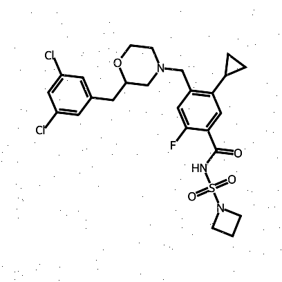 O=C(NS(=O)(=O)N1CCC1)c1cc(C2CC2)c(CN2CCOC(Cc3cc(Cl)cc(Cl)c3)C2)cc1F